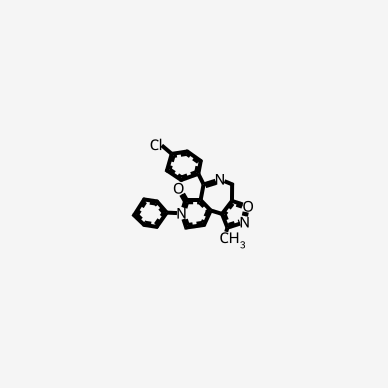 Cc1noc2c1-c1ccn(-c3ccccc3)c(=O)c1C(c1ccc(Cl)cc1)=NC2